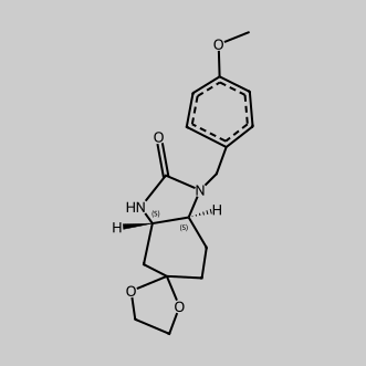 COc1ccc(CN2C(=O)N[C@H]3CC4(CC[C@@H]32)OCCO4)cc1